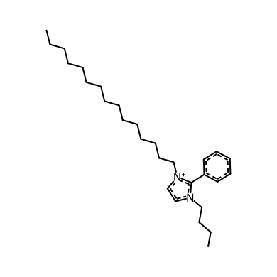 CCCCCCCCCCCCCCC[n+]1ccn(CCCC)c1-c1ccccc1